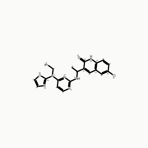 CC(C)CN(c1ccnc(NC(C)c2cc3cc(Cl)ccc3[nH]c2=O)n1)c1ncco1